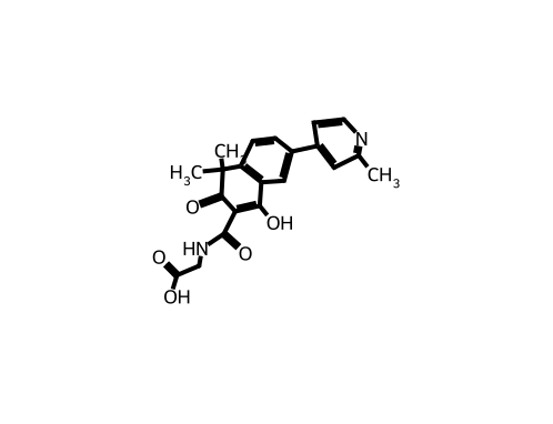 Cc1cc(-c2ccc3c(c2)C(O)=C(C(=O)NCC(=O)O)C(=O)C3(C)C)ccn1